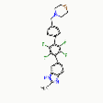 Cc1nc2ccc(-c3c(F)c(F)c(-c4ccc(CN5CCSCC5)cc4)c(F)c3F)cc2[nH]1